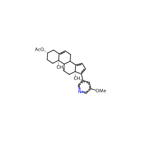 COc1cncc(C2=CC=C3C4CC=C5C[C@@H](OC(C)=O)CC[C@]5(C)C4CC[C@]23C)c1